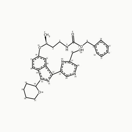 C[C@@H](CCNC(=O)OCc1ccccc1)Oc1ccc2c(c1)c(-c1cncc(CO)n1)nn2C1CCCCO1